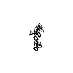 CCCC[C@@H](Nc1ccccc1C(=O)NOC(=O)CC)c1ccc(-c2noc(-c3ccccc3)n2)cc1